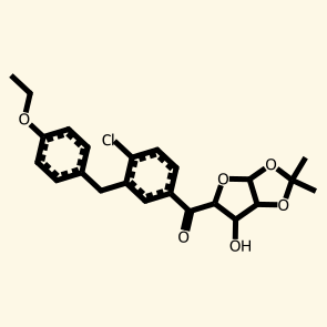 CCOc1ccc(Cc2cc(C(=O)C3OC4OC(C)(C)OC4C3O)ccc2Cl)cc1